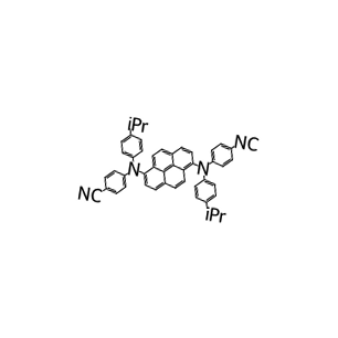 [C-]#[N+]c1ccc(N(c2ccc(C(C)C)cc2)c2ccc3ccc4c(N(c5ccc(C#N)cc5)c5ccc(C(C)C)cc5)ccc5ccc2c3c54)cc1